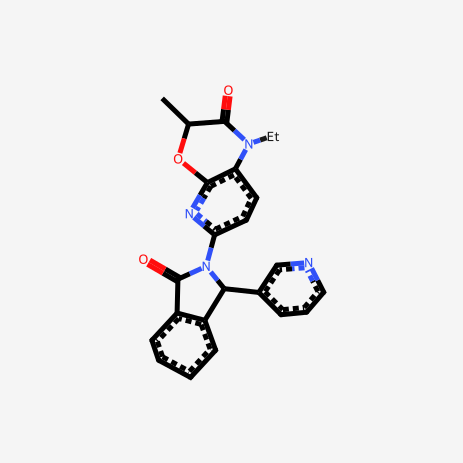 CCN1C(=O)C(C)Oc2nc(N3C(=O)c4ccccc4C3c3cccnc3)ccc21